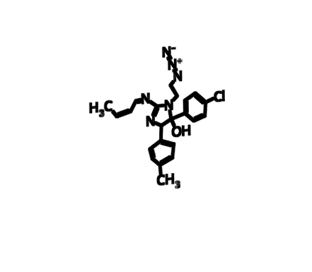 C/C=C\C=N/C1=NC(c2ccc(C)cc2)C(O)(c2ccc(Cl)cc2)N1CCN=[N+]=[N-]